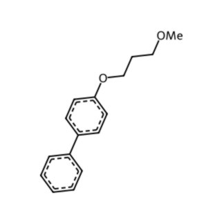 COCCCOc1ccc(-c2ccccc2)cc1